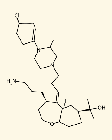 CC1CN(CC/C=C2\[C@H](CCCN)CCOC3CC[C@H](C(C)(C)O)C[C@H]23)CCN1C1=CC[C@H](Cl)CC1